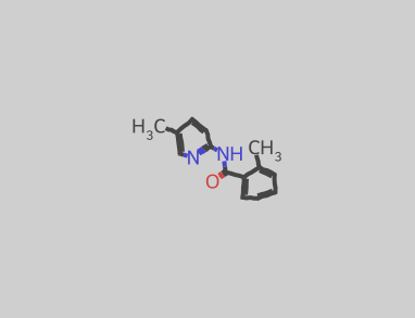 Cc1ccc(NC(=O)c2ccccc2C)nc1